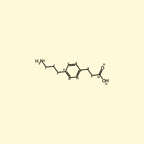 NCCCc1ccc(CCC(=O)O)cc1